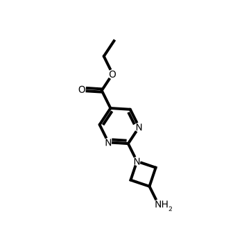 CCOC(=O)c1cnc(N2CC(N)C2)nc1